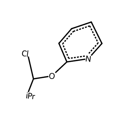 CC(C)C(Cl)Oc1ccccn1